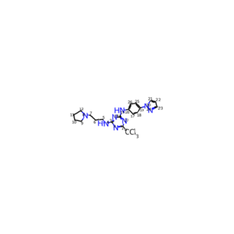 ClC(Cl)(Cl)c1nc(NCCCN2CCCC2)nc(Nc2ccc(-n3cccn3)cc2)n1